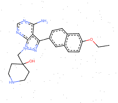 CCOc1ccc2cc(-c3nn(CC4(O)CCNCC4)c4ncnc(N)c34)ccc2c1